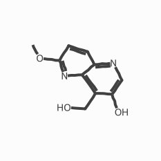 COc1ccc2ncc(O)c(CO)c2n1